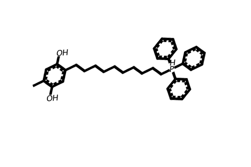 Cc1cc(O)c(CCCCCCCCCC[PH](c2ccccc2)(c2ccccc2)c2ccccc2)cc1O